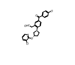 O=CCc1cc(C(=O)c2ccc(Cl)cc2)ccc1N1CC[C@H](Oc2ncccc2Cl)C1